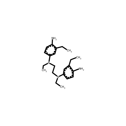 CCc1cc(N(CC)CCN(CC)c2ccc(N)c(CC)c2)ccc1N